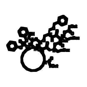 CCCCCCCCCCC[C@H](CC(=O)N[C@@H](COCc1ccccc1)CO[C@@H]1O[C@H](CO)[C@@H](OP(=O)(Oc2ccccc2)Oc2ccccc2)[C@@]2(CCCCCCCCCCC[C@@H](C(=O)CCCCCCCC)CCO2)[C@H]1NC(=O)C[C@@H](CCCCCCCCCCC)OC(=O)CCCCCCCC)OC(=O)CCCCCCCC